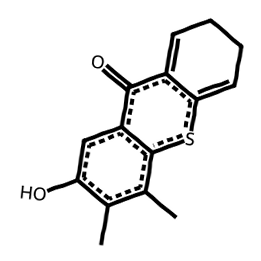 Cc1c(O)cc2c(=O)c3c(sc2c1C)=CCCC=3